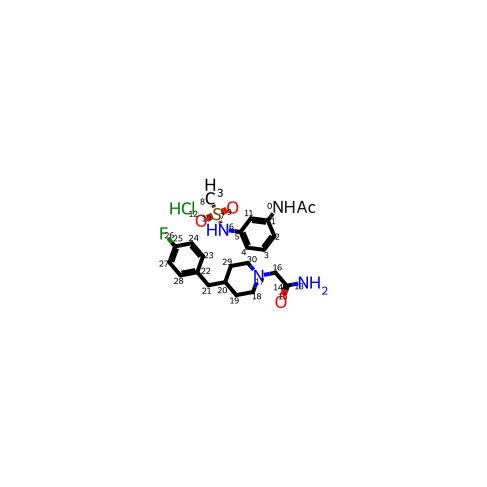 CC(=O)Nc1cccc(NS(C)(=O)=O)c1.Cl.NC(=O)CN1CCC(Cc2ccc(F)cc2)CC1